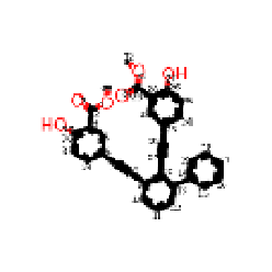 COC(=O)c1cc(C#Cc2cccc(-c3ccccc3)c2C#Cc2ccc(O)c(C(=O)OC)c2)ccc1O